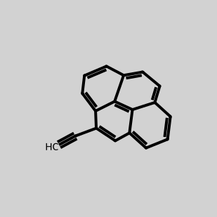 C#Cc1cc2cccc3ccc4cccc1c4c32